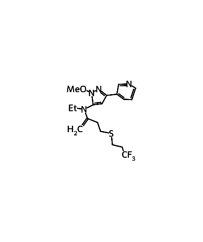 C=C(CCSCCC(F)(F)F)N(CC)c1cc(-c2cccnc2)nn1OC